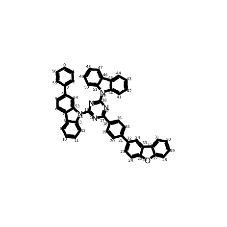 c1ccc(-c2ccc3c4ccccc4n(-c4nc(-c5ccc(-c6ccc7oc8ccccc8c7c6)cc5)nc(-n5c6ccccc6c6ccccc65)n4)c3c2)cc1